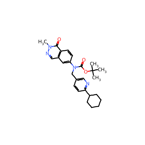 Cn1ncc2cc(N(Cc3ccc(C4CCCCC4)nc3)C(=O)OC(C)(C)C)ccc2c1=O